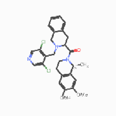 COc1cc2c(cc1OC)[C@@H](C)N(C(=O)C1Cc3ccccc3CN1Cc1c(Cl)cncc1Cl)CC2